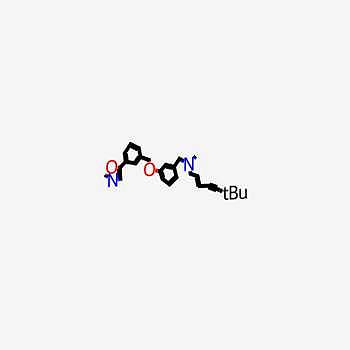 CN(C/C=C/C#CC(C)(C)C)Cc1cccc(OCc2cccc(-c3cnco3)c2)c1